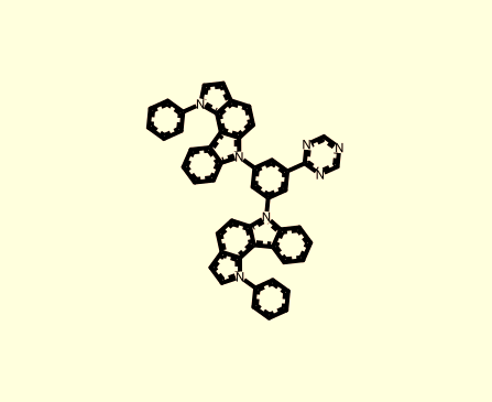 c1ccc(-n2ccc3ccc4c(c5ccccc5n4-c4cc(-c5ncncn5)cc(-n5c6ccccc6c6c7c(ccc65)ccn7-c5ccccc5)c4)c32)cc1